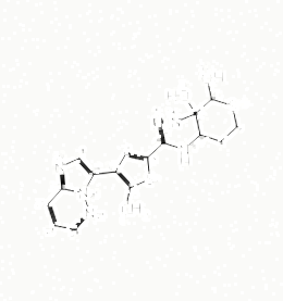 Cc1sc(C(=O)NC2CCSC(O)C2(N)O)cc1-c1cnc2cccnn12